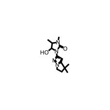 CC1C(O)N(c2cc3n(n2)CCC3(C)C)C(=O)N1C